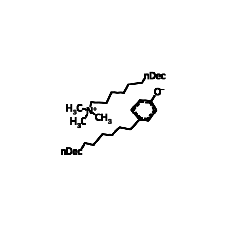 CCCCCCCCCCCCCCCC[N+](C)(C)C.CCCCCCCCCCCCCCCCc1ccc([O-])cc1